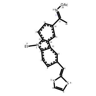 CCn1c2ccc(C=C3SC=CS3)cc2c2cc(/C(C)=N/OC(C)=O)ccc21